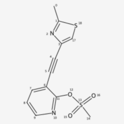 Cc1nc(C#Cc2cccnc2OS(C)(=O)=O)cs1